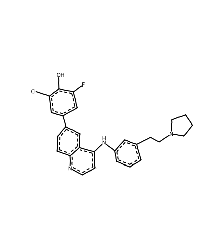 Oc1c(F)cc(-c2ccc3nc[c]c(Nc4cccc(CCN5CCCC5)c4)c3c2)cc1Cl